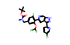 CN(Cc1cc(F)c(-c2cc3c(-c4ccc(Cl)cn4)n[nH]c3cn2)c(OC(F)F)c1)C(=O)OC(C)(C)C